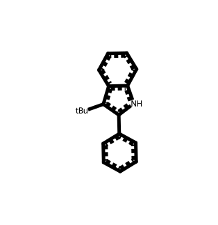 CC(C)(C)c1c(-c2ccccc2)[nH]c2ccccc12